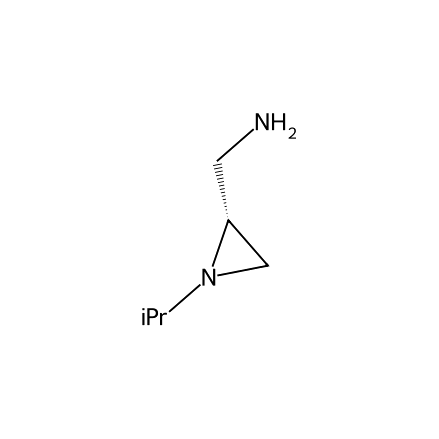 CC(C)N1C[C@H]1CN